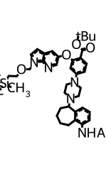 CC(=O)Nc1cccc2c1CCCCC2N1CCN(c2ccc(C(=O)OC(C)(C)C)c(Oc3cnc4c(ccn4COCC[Si](C)(C)C)c3)c2)CC1